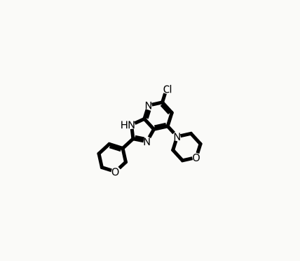 Clc1cc(N2CCOCC2)c2nc(C3=CCCOC3)[nH]c2n1